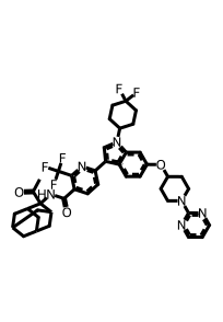 CC(=O)C1(NC(=O)c2ccc(-c3cn(C4CCC(F)(F)CC4)c4cc(OC5CCN(c6ncccn6)CC5)ccc34)nc2C(F)(F)F)C2CC3CC(C2)CC1C3